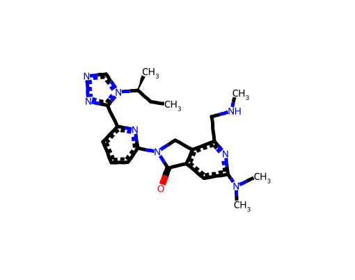 CC[C@H](C)n1cnnc1-c1cccc(N2Cc3c(cc(N(C)C)nc3CNC)C2=O)n1